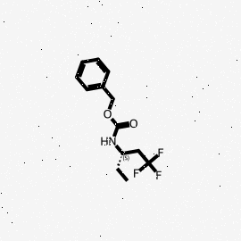 CC[C@@H](CC(F)(F)F)NC(=O)OCc1ccccc1